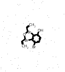 C=CCOCC=C.Oc1ccc(Br)c(Br)c1Br